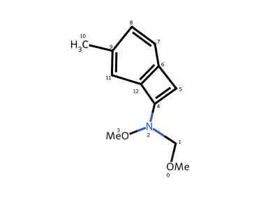 COCN(OC)C1=Cc2ccc(C)cc21